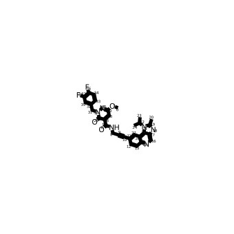 COc1cc(C(=O)NCC#Cc2ccc3ncc4nc(C)n(C(C)C)c4c3c2)c(=O)n(Cc2ccc(F)c(F)c2)n1